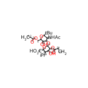 C=CC(=O)OCC1OC(C(C)(C)C)C(NC(C)=O)C(OC2OC(C(=O)O)C(C(C)C)C(O)C2OC(=O)C=C)C1O